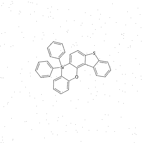 c1ccc([Si]2(c3ccccc3)c3ccccc3Oc3c2ccc2sc4ccccc4c32)cc1